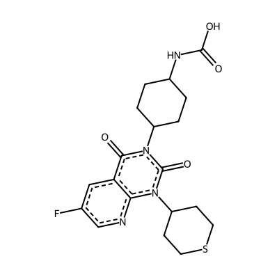 O=C(O)NC1CCC(n2c(=O)c3cc(F)cnc3n(C3CCSCC3)c2=O)CC1